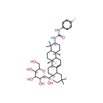 CC1(C)CC[C@]2([C@H](O)[C@H]3OC(CO)[C@H](O)C(O)C3O)CC[C@]3(C)C(=CCC4[C@@]5(C)CC[C@H](NC(=O)Nc6ccc(F)cc6)C(C)(C)C5CC[C@]43C)C2C1